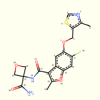 Cc1ncsc1COc1cc2c(C(=O)NC3(C(N)=O)COC3)c(C)oc2cc1F